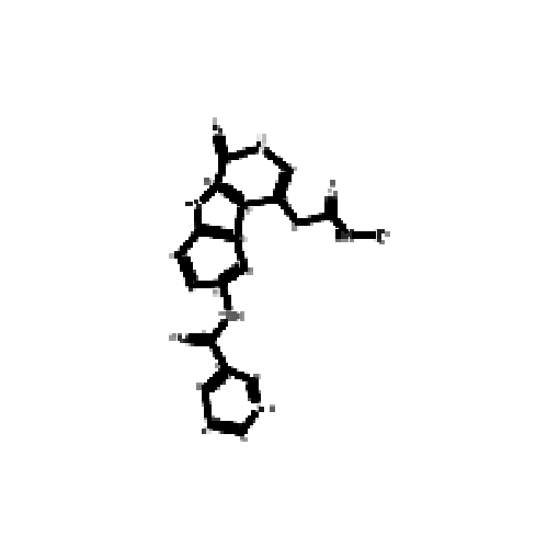 CC(C)NC(=O)Cc1c[nH]c(=O)c2[nH]c3ccc(NC(=O)c4cccnc4)cc3c12